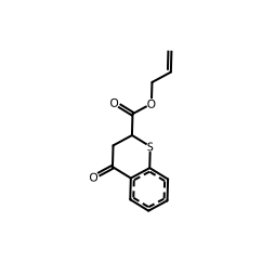 C=CCOC(=O)C1CC(=O)c2ccccc2S1